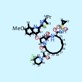 COc1ccc2c(O[C@@H]3C[C@H]4C(=O)N[C@@H](C(=O)NS(=O)(=O)C5CC5)C/C=C\CCCCC[C@H](CC(=O)N5CCCC(F)(F)C5)C(=O)N4C3)cc(-c3nc(C(C)C)cs3)nc2c1C